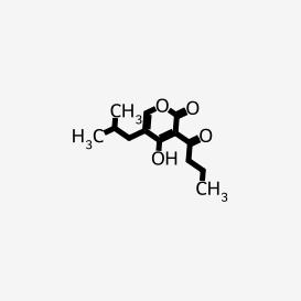 CCCC(=O)c1c(O)c(CC(C)C)coc1=O